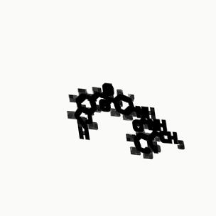 CC(NC(=O)Nc1ccc(S(=O)(=O)Cc2ccc3c(c2)CNC3)cc1)c1ccccn1